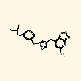 Nc1cc(Cc2cnn(Cc3cccc(OC(F)F)c3)c2)c2nn[nH]c2n1